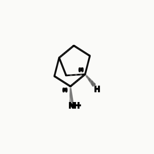 [NH][C@@H]1CC2CC[C@@H]1C2